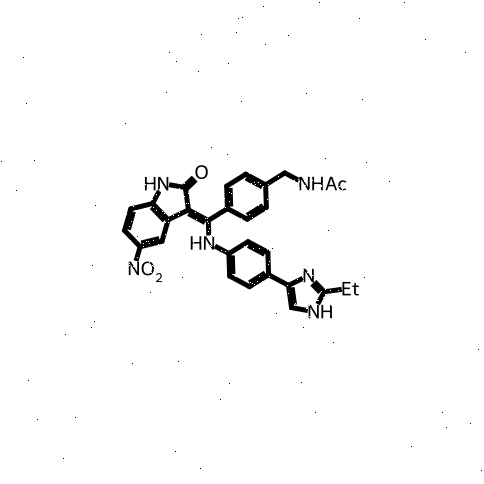 CCc1nc(-c2ccc(NC(=C3C(=O)Nc4ccc([N+](=O)[O-])cc43)c3ccc(CNC(C)=O)cc3)cc2)c[nH]1